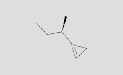 CC[C@@H](C)C1=CC1